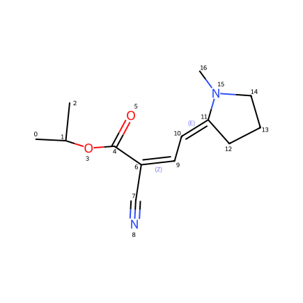 CC(C)OC(=O)/C(C#N)=C\C=C1/CCCN1C